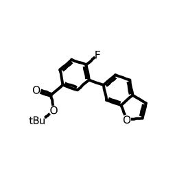 CC(C)(C)OC(=O)c1ccc(F)c(-c2ccc3ccoc3c2)c1